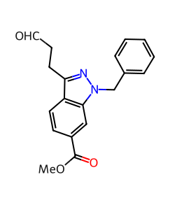 COC(=O)c1ccc2c(CCC=O)nn(Cc3ccccc3)c2c1